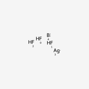 F.F.F.[Ag].[B]